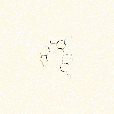 Cc1cc([C@@H](C)Nc2ccc(Cl)nc2C#N)c2oc(-c3cn(C)nc3F)c(C)c(=O)c2c1